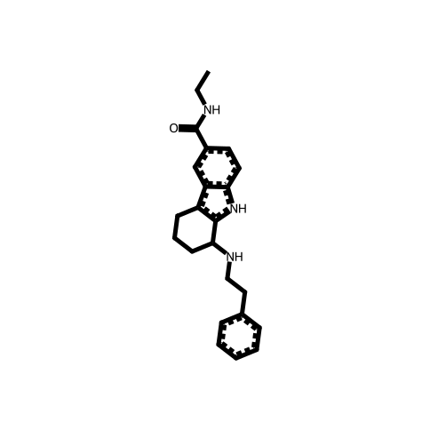 CCNC(=O)c1ccc2[nH]c3c(c2c1)CCCC3NCCc1ccccc1